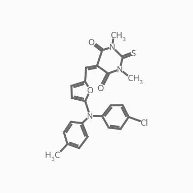 Cc1ccc(N(c2ccc(Cl)cc2)c2ccc(C=C3C(=O)N(C)C(=S)N(C)C3=O)o2)cc1